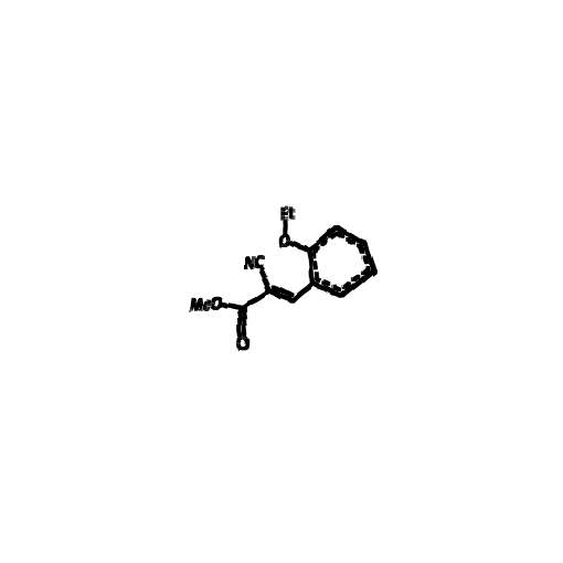 CCOc1ccccc1/C=C(\C#N)C(=O)OC